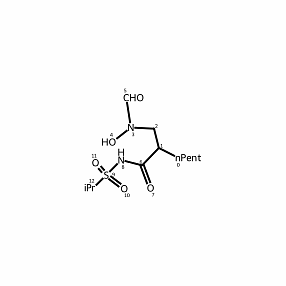 CCCCCC(CN(O)C=O)C(=O)NS(=O)(=O)C(C)C